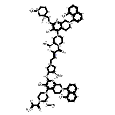 C=C(F)C(=O)N1CCN(c2c(C#N)c(OC3CN(C/C=C(\F)C(=O)N4CCN(c5c(C#N)c(OC[C@]6(F)CCCN(C)C6)nc6c5CCN(c5cccc7cccc(C)c57)C6)C[C@@H]4CC#N)C[C@H]3OC)nc3c2CCN(c2cccc4cccc(C)c24)C3)C[C@@H]1CC#N